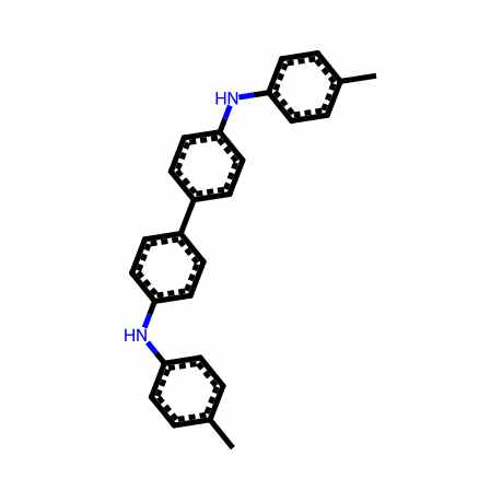 Cc1ccc(Nc2ccc(-c3ccc(Nc4ccc(C)cc4)cc3)cc2)cc1